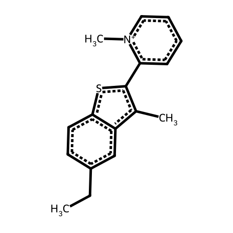 CCc1ccc2sc(-c3cccc[n+]3C)c(C)c2c1